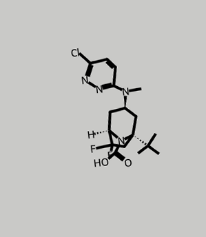 CN(c1ccc(Cl)nn1)[C@@H]1C[C@H]2N(C(=O)O)[C@@](C(C)(C)C)(C1)CC2(F)F